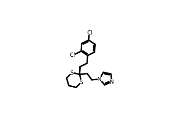 Clc1ccc(CCC2(CCn3ccnc3)SCCCS2)c(Cl)c1